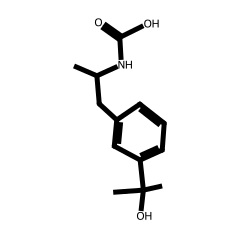 CC(Cc1cccc(C(C)(C)O)c1)NC(=O)O